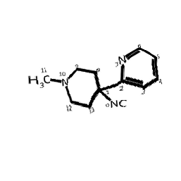 [C-]#[N+]C1(c2ccccn2)CCN(C)CC1